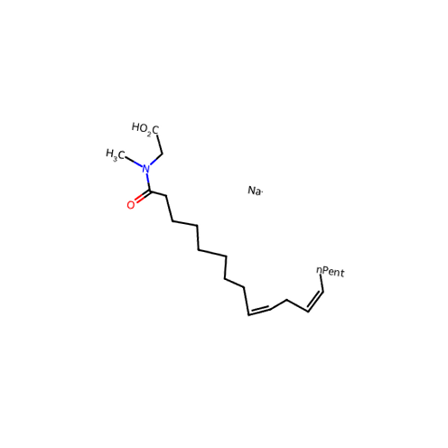 CCCCC/C=C\C/C=C\CCCCCCCC(=O)N(C)CC(=O)O.[Na]